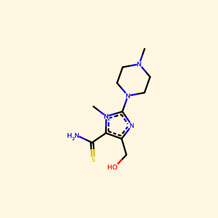 CN1CCN(c2nc(CO)c(C(N)=S)n2C)CC1